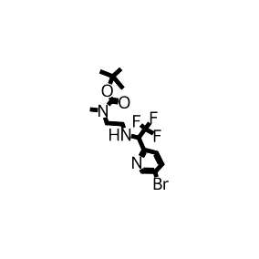 CN(CCNC(c1ccc(Br)cn1)C(F)(F)F)C(=O)OC(C)(C)C